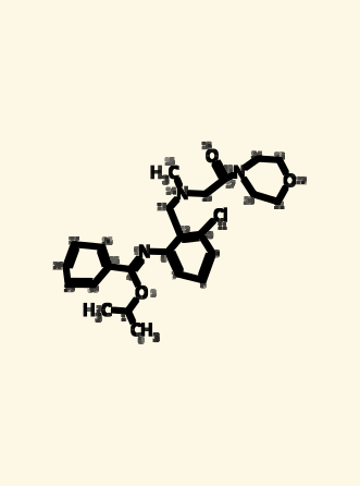 CC(C)O/C(=N\c1cccc(Cl)c1CN(C)CC(=O)N1CCOCC1)c1ccccc1